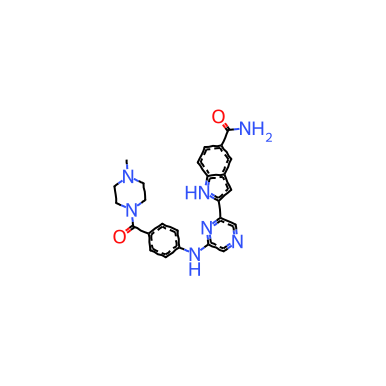 CN1CCN(C(=O)c2ccc(Nc3cncc(-c4cc5cc(C(N)=O)ccc5[nH]4)n3)cc2)CC1